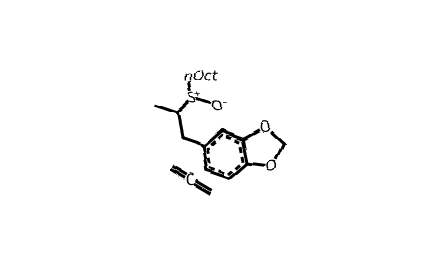 C=C=C.CCCCCCCC[S+]([O-])C(C)Cc1ccc2c(c1)OCO2